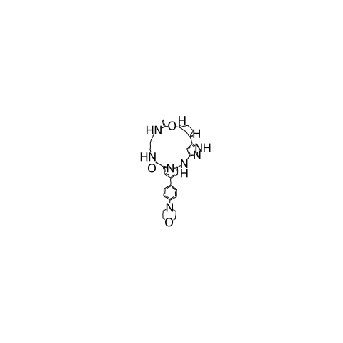 C=C1NCCCNC(=O)c2cc(-c3ccc(N4CCOCC4)cc3)cc(n2)Nc2cc([nH]n2)[C@H]2CC[C@H](C2)O1